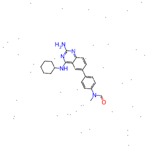 CN(C=O)c1ccc(-c2ccc3nc(N)nc(NC4CCCCC4)c3c2)cc1